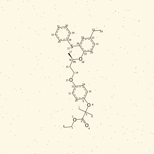 CCOC(=O)C(C)(C)Oc1ccc(OCC[C@@H](C)Oc2ccc(CC)cc2Sc2ccccc2)cc1